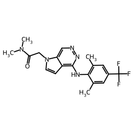 Cc1cc(C(F)(F)F)cc(C)c1Nc1nncc2c1ccn2CC(=O)N(C)C